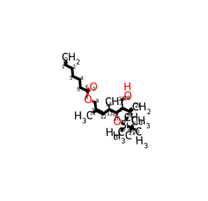 C=CCCCCC(=O)OC/C(C)=C\[C@@H](C)[C@H](O[Si](C)(C)C(C)(C)C)[C@H](C=C)CO